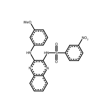 COc1cccc(Nc2nc3ccccc3nc2NS(=O)(=O)c2cccc([N+](=O)[O-])c2)c1